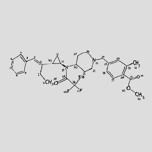 CC/C(=C\c1ccccc1)[C@@H]1C[C@H]1N(C(=O)C(F)(F)F)C1CCN(Cc2ccc(C(=O)OC)c(C)c2)CC1